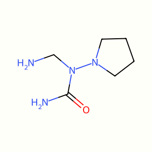 NCN(C(N)=O)N1CCCC1